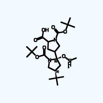 C[SiH](C)O[C@]1(C2CC(C(=O)O)N(C(=O)OC(C)(C)C)C2)C[C@H](C(C)(C)C)CN1C(=O)OC(C)(C)C